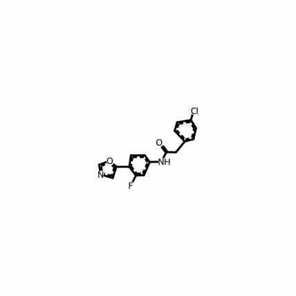 O=C(Cc1ccc(Cl)cc1)Nc1ccc(-c2cnco2)c(F)c1